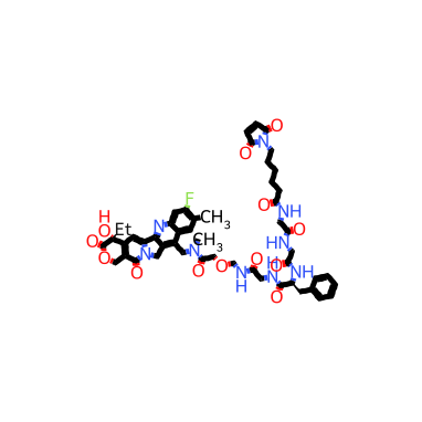 CC[C@@]1(O)C(=O)OCc2c1cc1n(c2=O)Cc2c-1nc1cc(F)c(C)cc1c2CN(C)C(=O)COCNC(=O)CNC(=O)[C@H](Cc1ccccc1)NC(=O)CNC(=O)CNC(=O)CCCCCN1C(=O)C=CC1=O